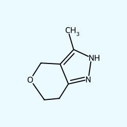 Cc1[nH]nc2c1COCC2